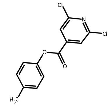 Cc1ccc(OC(=O)c2cc(Cl)nc(Cl)c2)cc1